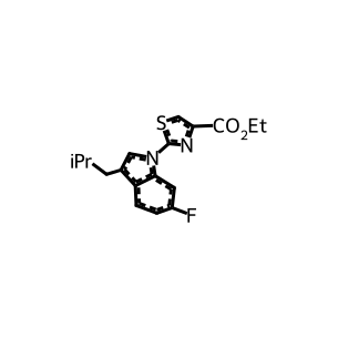 CCOC(=O)c1csc(-n2cc(CC(C)C)c3ccc(F)cc32)n1